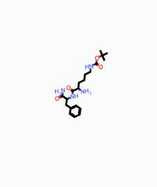 CC(C)(C)OC(=O)NCCCCC(N)C(=O)NC(Cc1ccccc1)C(N)=O